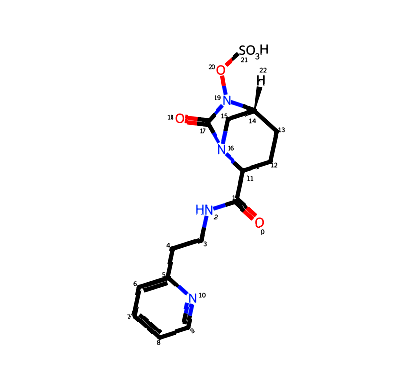 O=C(NCCc1ccccn1)C1CC[C@@H]2CN1C(=O)N2OS(=O)(=O)O